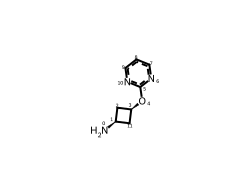 N[C@H]1C[C@@H](Oc2ncccn2)C1